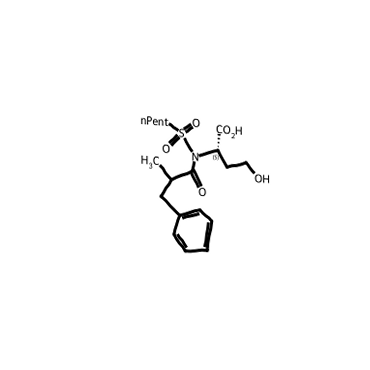 CCCCCS(=O)(=O)N(C(=O)C(C)Cc1ccccc1)[C@@H](CCO)C(=O)O